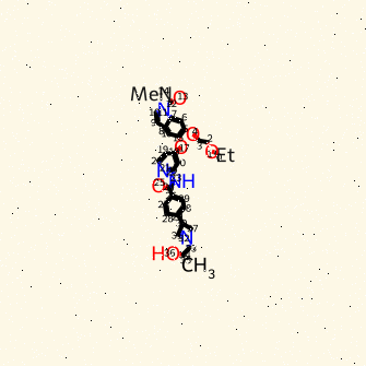 CCOCCOc1cc2c(ccn2C(=O)NC)cc1Oc1ccnc(NC(=O)c2ccc(C3CN(C[C@@H](C)O)C3)cc2)c1